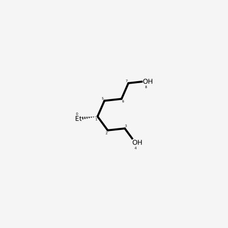 CC[C@@H](CCO)CCCO